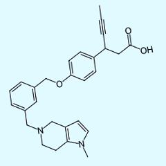 CC#CC(CC(=O)O)c1ccc(OCc2cccc(CN3CCc4c(ccn4C)C3)c2)cc1